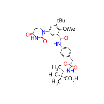 COc1c(C(=O)Nc2ccc(CS(=O)(=O)NC(C)C(C)(C)C(=O)O)cc2)cc(N2CCC(=O)NC2=O)cc1C(C)(C)C